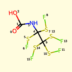 O=C(O)NC(SF)(SF)C(SF)(SF)SF